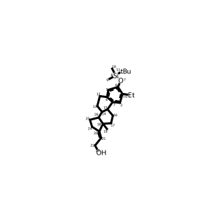 CCc1cc2c(cc1O[Si](C)(C)C(C)(C)C)CCC1C2CCC2(C)C(=CCO)CCC12